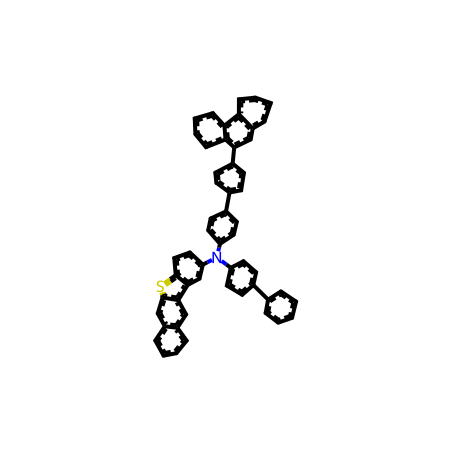 c1ccc(-c2ccc(N(c3ccc(-c4ccc(-c5cc6ccccc6c6ccccc56)cc4)cc3)c3ccc4sc5cc6ccccc6cc5c4c3)cc2)cc1